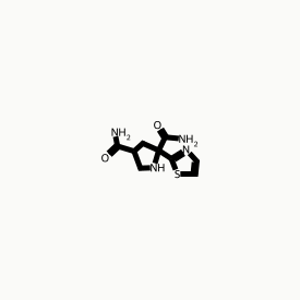 NC(=O)C1CNC(C(N)=O)(c2nccs2)C1